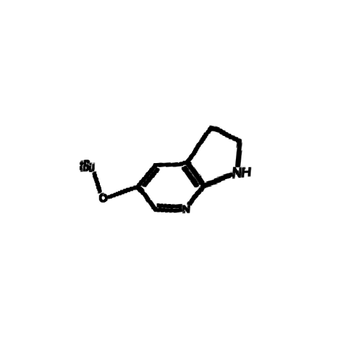 CC(C)(C)Oc1cnc2c(c1)CCN2